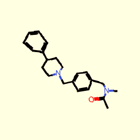 CC(=O)N(C)Cc1ccc(CN2CCC(c3ccccc3)CC2)cc1